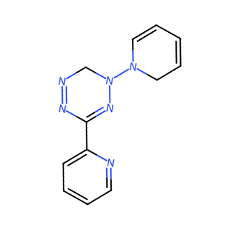 C1=CCN(N2CN=NC(c3ccccn3)=N2)C=C1